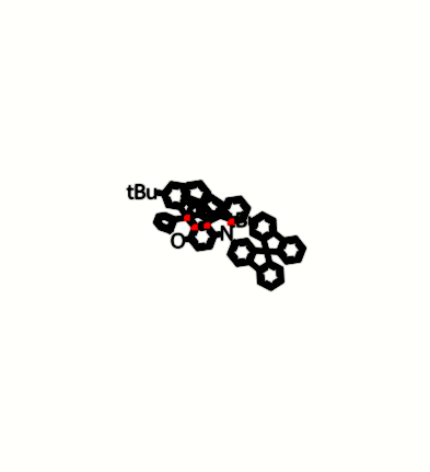 CC(C)(C)c1ccc2c(c1)C1(c3ccccc3Oc3ccc(N(c4ccc5c(c4)C4(c6ccccc6-c6ccccc64)c4ccccc4-5)c4ccccc4-c4cccc5ccccc45)cc31)c1cc(C(C)(C)C)ccc1-2